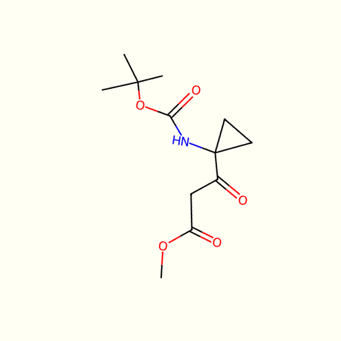 COC(=O)CC(=O)C1(NC(=O)OC(C)(C)C)CC1